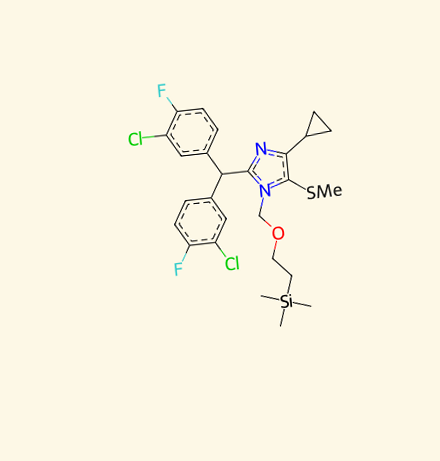 CSc1c(C2CC2)nc(C(c2ccc(F)c(Cl)c2)c2ccc(F)c(Cl)c2)n1COCC[Si](C)(C)C